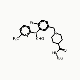 CCc1ccc(CN2CCC(C(=O)NC(C)(C)C)CC2)cc1N(C=O)c1cccc(C(F)(F)F)n1